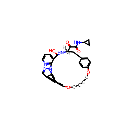 O=C(NC1CC1)C(=O)[C@@H]1Cc2ccc(cc2)OCCCCOc2ccc3c(cnn3-c3ncccc3C(O)N1)c2